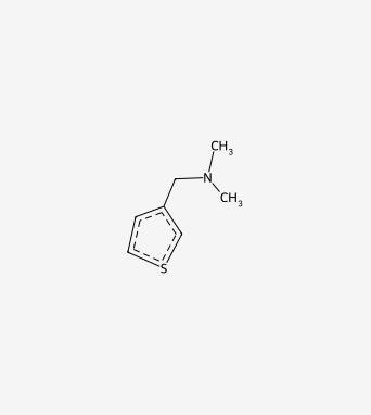 CN(C)Cc1ccsc1